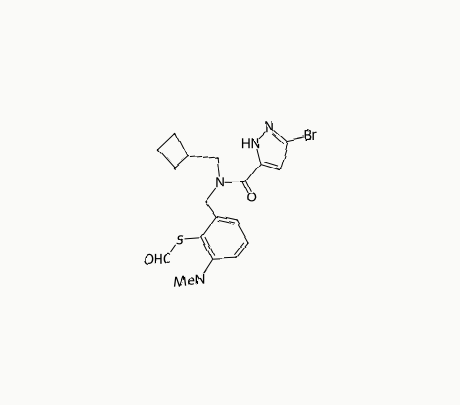 CNc1cccc(CN(CC2CCC2)C(=O)c2cc(Br)n[nH]2)c1SC=O